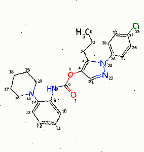 CCCc1c(OC(=O)Nc2ccccc2N2CCCCC2)cnn1-c1ccc(Cl)cc1